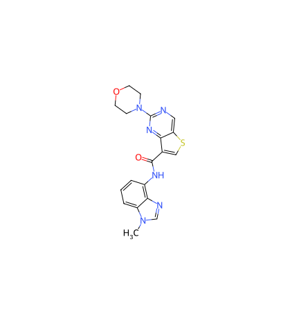 Cn1cnc2c(NC(=O)c3csc4cnc(N5CCOCC5)nc34)cccc21